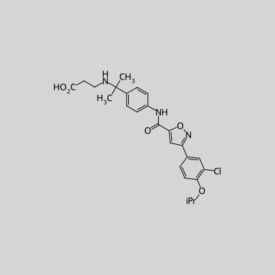 CC(C)Oc1ccc(-c2cc(C(=O)Nc3ccc(C(C)(C)NCCC(=O)O)cc3)on2)cc1Cl